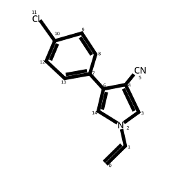 C=Cn1cc(C#N)c(-c2ccc(Cl)cc2)c1